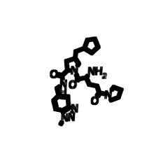 Cn1nnc2cc(CNC(=O)C3CC(CC4CCCC4)CN3C(=O)C(N)CCC(=O)N3CCCC3)ccc21